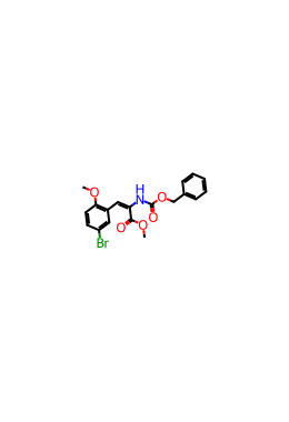 COC(=O)/C(=C\c1cc(Br)ccc1OC)NC(=O)OCc1ccccc1